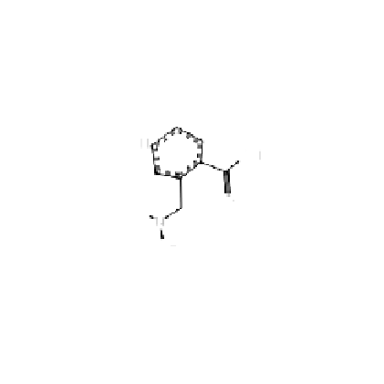 CN(C)Cc1ccccc1C(=O)O.[LiH]